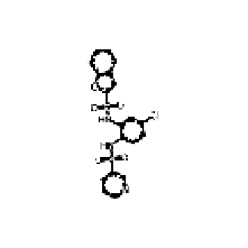 O=S(=O)(Nc1ccc(Cl)cc1NS(=O)(=O)c1cc2ccccc2o1)c1cccnc1